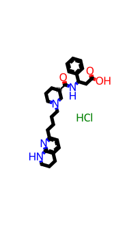 Cl.O=C(O)CC(NC(=O)[C@@H]1CCCN(CCCCc2ccc3c(n2)NCCC3)C1)c1ccccc1